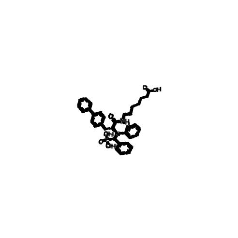 O=C(O)CCCCCCNC(=O)[C@H](Cc1ccc(-c2ccccc2)cc1)N(c1ccccc1)C(c1ccccc1)P(=O)(O)O